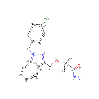 CC(C)(OCc1nn(Cc2ccc(Cl)cc2)c2ccccc12)C(N)=O